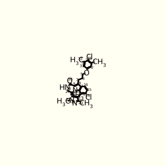 Cc1cc(OCCCc2c3n4c5c(c(Cl)ccc25)-c2c(C)nn(C)c2[C@@]4(C)CNC3=O)cc(C)c1Cl